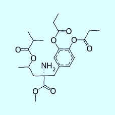 CCC(=O)Oc1ccc(C[C@](N)(CC(C)OC(=O)C(C)C)C(=O)OC)cc1OC(=O)CC